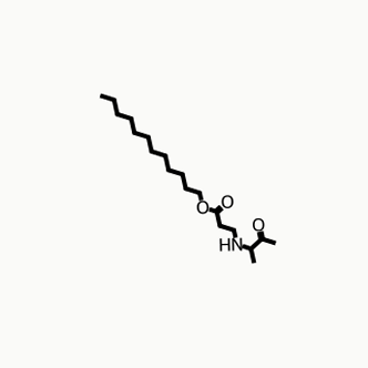 CCCCCCCCCCCCOC(=O)CCNC(C)C(C)=O